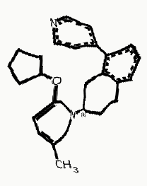 CC1=CC=C(OC2CCCC2)N([C@@H]2CCc3cccc(-c4ccncc4)c3C2)C1